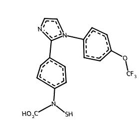 O=C(O)N(S)c1ccc(-c2nccn2-c2ccc(OC(F)(F)F)cc2)cc1